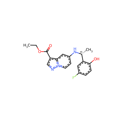 CCOC(=O)c1cnn2ccc(N[C@H](C)c3cc(F)ccc3O)cc12